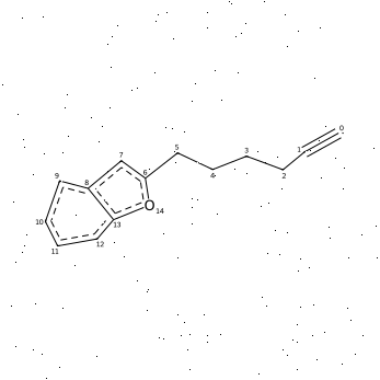 [C]#CCCCCc1cc2ccccc2o1